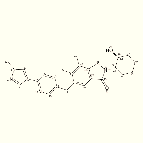 Cc1c(Cc2ccc(-c3cnn(C)c3)nc2)cc2c(c1C)CN([C@H]1CCCC[C@@H]1O)C2=O